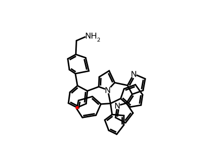 NCc1ccc(-c2ccccc2-c2ccc(C3=NC=CC3=C3C=CC=N3)n2C(c2ccccc2)(c2ccccc2)c2ccccc2)cc1